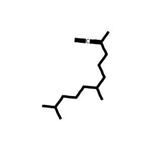 C=C=C(C)CCCC(C)CCCC(C)C